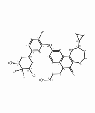 CNCCn1c(=O)c2c(c3cc(Nc4nc(N5C[C@@H](C)C(F)(F)[C@@H](C)C5)ncc4Cl)ccc31)N[C@@H](C1CC1)CCO2